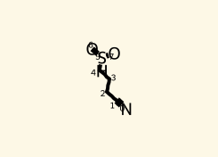 N#CCCC[SH](=O)=O